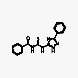 O=C(NC(=S)Nc1nc(-c2ccccc2)n[nH]1)c1ccccc1